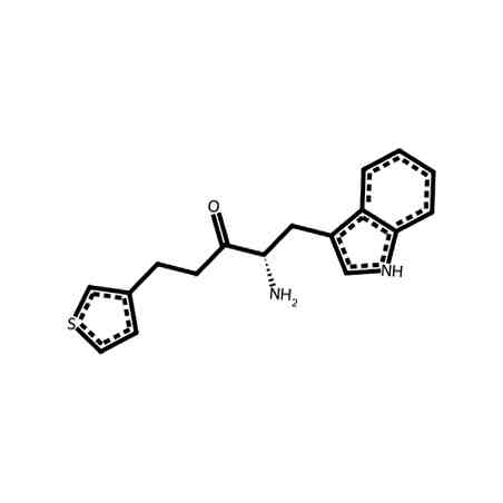 N[C@@H](Cc1c[nH]c2ccccc12)C(=O)CCc1ccsc1